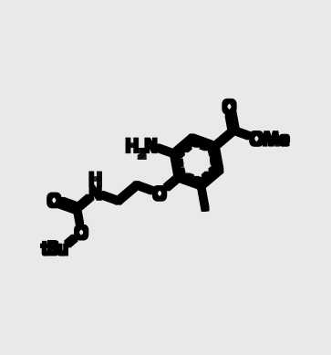 COC(=O)c1cc(C)c(OCCNC(=O)OC(C)(C)C)c(N)c1